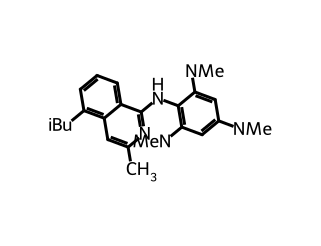 CCC(C)c1cccc2c(Nc3c(NC)cc(NC)cc3NC)nc(C)cc12